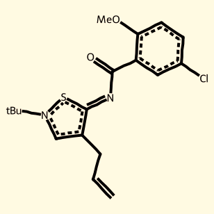 C=CCc1cn(C(C)(C)C)s/c1=N\C(=O)c1cc(Cl)ccc1OC